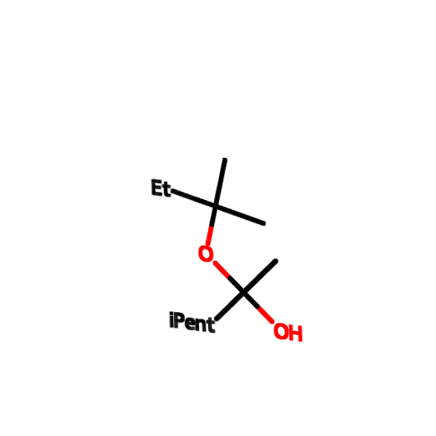 CCCC(C)C(C)(O)OC(C)(C)CC